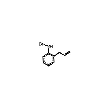 C=CCc1ccccc1NBr